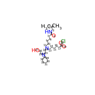 CC(C)CNC(=O)CCCCCN(CCCCCC(=O)OCl)CCN(CCO)C1CCCCC1